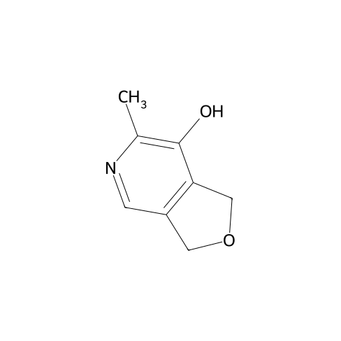 Cc1ncc2c(c1O)COC2